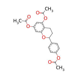 CC(=O)Oc1ccc(C2CCc3c(OC(C)=O)cc(OC(C)=O)cc3O2)cc1